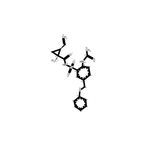 C=C[C@@H]1C[C@]1(C)C(=O)NS(=O)(=O)c1cc(COc2ccccc2)ccc1NC(C)=O